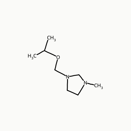 CC(C)OCN1CCN(C)C1